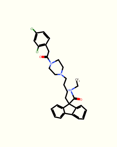 O=C(Cc1ccc(Cl)cc1Cl)N1CCN(CCCCC2(C(=O)NCC(F)(F)F)c3ccccc3-c3ccccc32)CC1